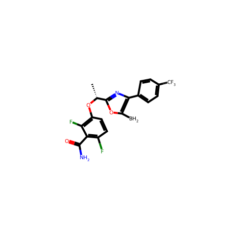 Bc1oc([C@@H](C)Oc2ccc(F)c(C(N)=O)c2F)nc1-c1ccc(C(F)(F)F)cc1